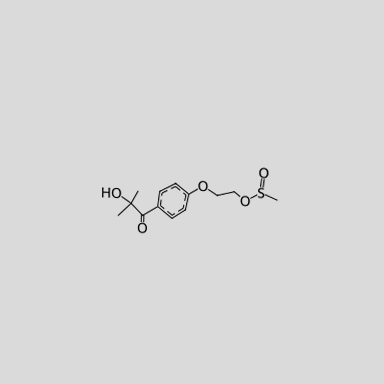 CS(=O)OCCOc1ccc(C(=O)C(C)(C)O)cc1